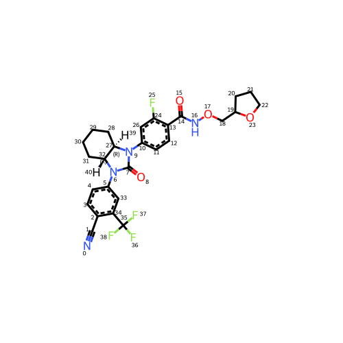 N#Cc1ccc(N2C(=O)N(c3ccc(C(=O)NOCC4CCCO4)c(F)c3)[C@@H]3CCCC[C@H]32)cc1C(F)(F)F